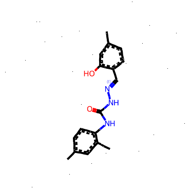 Cc1ccc(NC(=O)N/N=C/c2ccc(C)cc2O)c(C)c1